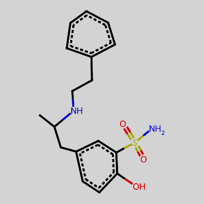 CC(Cc1ccc(O)c(S(N)(=O)=O)c1)NCCc1ccccc1